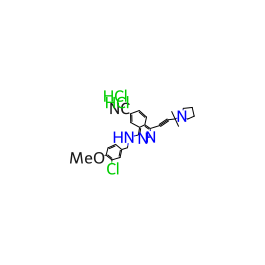 COc1ccc(CNc2nnc(C#CC(C)(C)N3CCCC3)c3ccc(C#N)cc23)cc1Cl.Cl.Cl